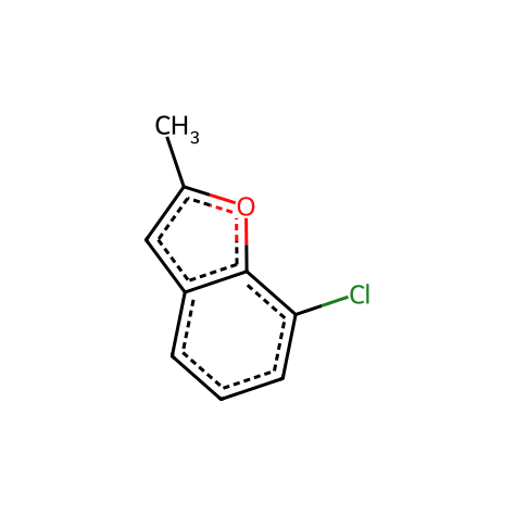 Cc1cc2cccc(Cl)c2o1